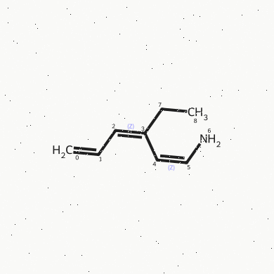 C=C/C=C(\C=C/N)CC